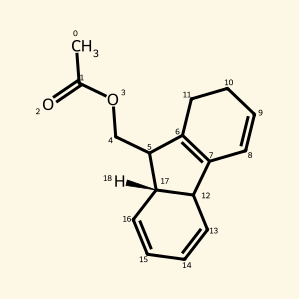 CC(=O)OCC1C2=C(C=CCC2)C2C=CC=C[C@@H]21